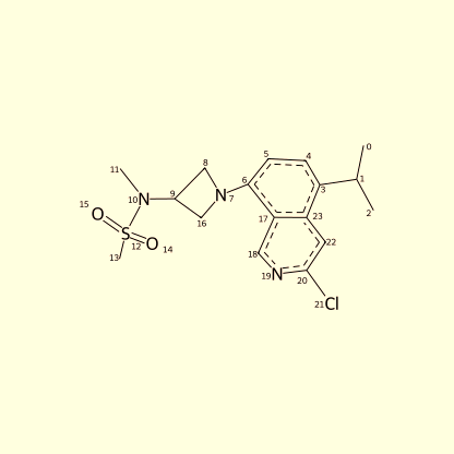 CC(C)c1ccc(N2CC(N(C)S(C)(=O)=O)C2)c2cnc(Cl)cc12